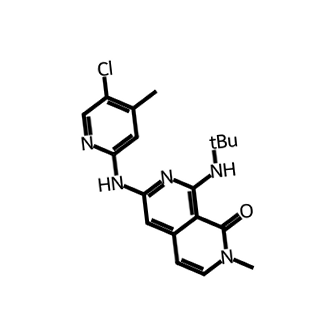 Cc1cc(Nc2cc3ccn(C)c(=O)c3c(NC(C)(C)C)n2)ncc1Cl